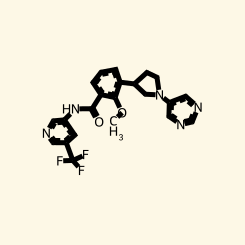 COc1c(C(=O)Nc2cncc(C(F)(F)F)c2)cccc1C1CCN(c2cncnc2)C1